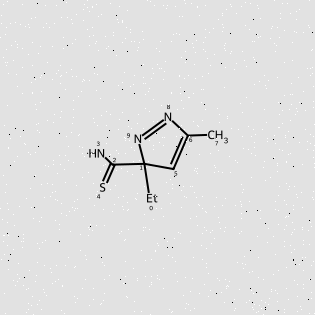 CCC1(C([NH])=S)C=C(C)N=N1